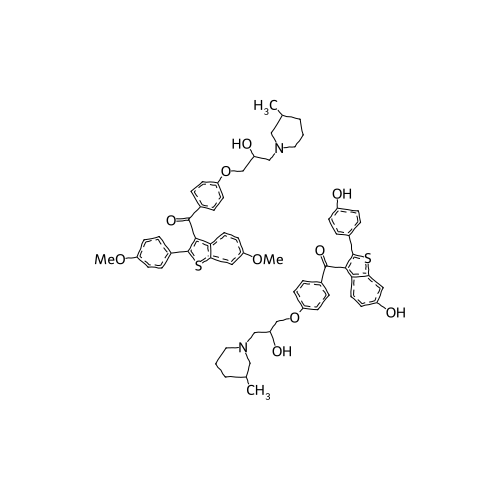 CC1CCCN(CC(O)COc2ccc(C(=O)c3c(-c4ccc(O)cc4)sc4cc(O)ccc34)cc2)C1.COc1ccc(-c2sc3cc(OC)ccc3c2C(=O)c2ccc(OCC(O)CN3CCCC(C)C3)cc2)cc1